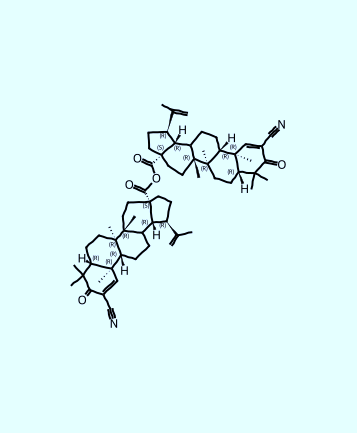 C=C(C)[C@@H]1CC[C@]2(C(=O)OC(=O)[C@]34CC[C@@H](C(=C)C)[C@@H]3C3CC[C@@H]5[C@@]6(C)C=C(C#N)C(=O)C(C)(C)[C@@H]6CC[C@@]5(C)[C@]3(C)CC4)CC[C@]3(C)C(CC[C@@H]4[C@@]5(C)C=C(C#N)C(=O)C(C)(C)[C@@H]5CC[C@]43C)[C@@H]12